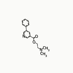 CN(C)CCOC(=O)c1cncc(-c2ccccc2)c1